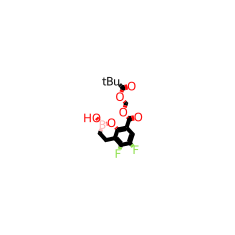 CC(C)(C)C(=O)OCOC(=O)c1cc(F)c(F)c2c1OB(O)CC2